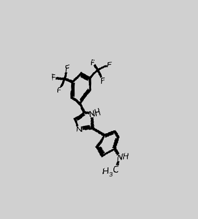 CNc1ccc(-c2ncc(-c3cc(C(F)(F)F)cc(C(F)(F)F)c3)[nH]2)cc1